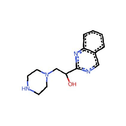 OC(CN1CCNCC1)c1ncc2ccccc2n1